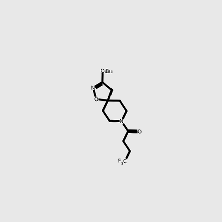 CC(C)COC1=NOC2(CCN(C(=O)CCC(F)(F)F)CC2)C1